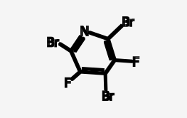 Fc1c(Br)nc(Br)c(F)c1Br